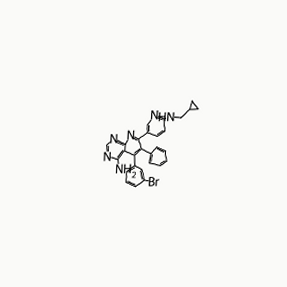 Nc1ncnc2nc(-c3ccc(NCC4CC4)nc3)c(-c3ccccc3)c(-c3cccc(Br)c3)c12